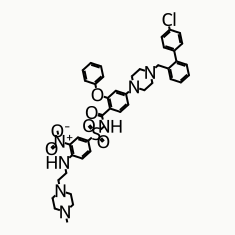 CN1CCN(CCNc2ccc(S(=O)(=O)NC(=O)c3ccc(N4CCN(Cc5ccccc5-c5ccc(Cl)cc5)CC4)cc3Oc3ccccc3)cc2[N+](=O)[O-])CC1